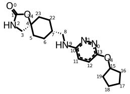 O=C1NC[C@]2(CC[C@@H](CNc3ccc(OC4CCCC4)nn3)CC2)O1